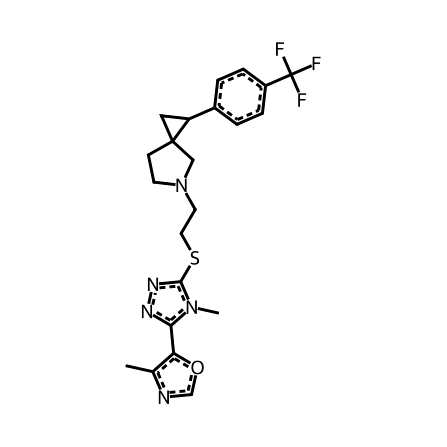 Cc1ncoc1-c1nnc(SCCN2CCC3(CC3c3ccc(C(F)(F)F)cc3)C2)n1C